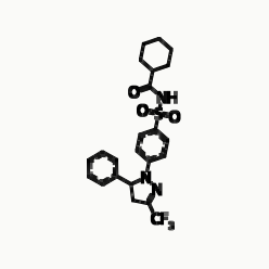 O=C(NS(=O)(=O)c1ccc(N2N=C(C(F)(F)F)CC2c2ccccc2)cc1)C1CCCCC1